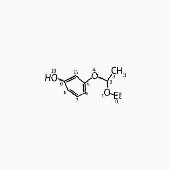 CCOC(C)Oc1cccc(O)c1